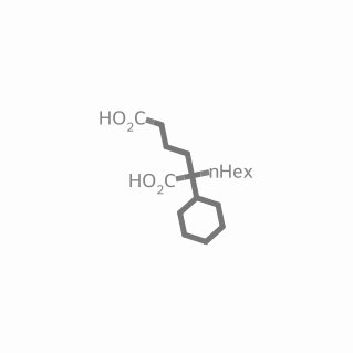 CCCCCCC(CCCC(=O)O)(C(=O)O)C1CCCCC1